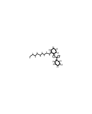 CCCCCCCCCc1ccccc1OC(=O)c1ccccc1